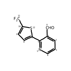 O=Cc1cccnc1-c1ccc(C(F)(F)F)s1